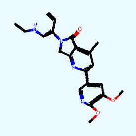 C=C/C(=C\NCC)N1Cc2nc(-c3cnc(OC)c(OC)c3)cc(C)c2C1=O